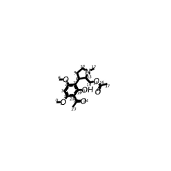 COc1cc(OC)c(C2CCN(C)C2COC(C)=O)c(O)c1C(C)=O